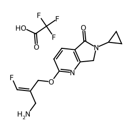 NC/C(=C/F)COc1ccc2c(n1)CN(C1CC1)C2=O.O=C(O)C(F)(F)F